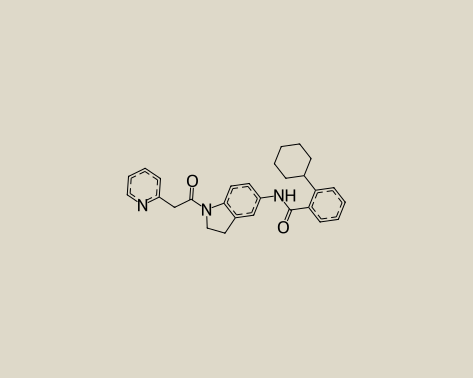 O=C(Nc1ccc2c(c1)CCN2C(=O)Cc1ccccn1)c1ccccc1C1CCCCC1